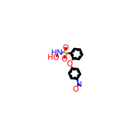 O=Nc1ccc(Oc2ccccc2S(=O)(=O)NO)cc1